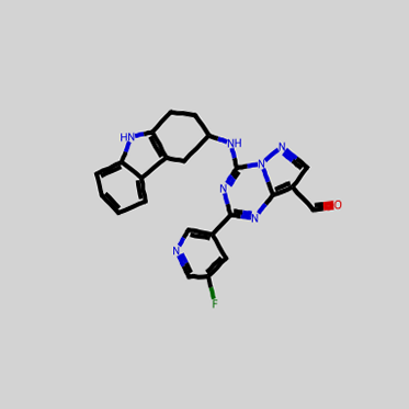 O=Cc1cnn2c(NC3CCc4[nH]c5ccccc5c4C3)nc(-c3cncc(F)c3)nc12